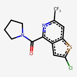 O=C(c1nc(C(F)(F)F)cc2sc(Cl)cc12)N1CCCC1